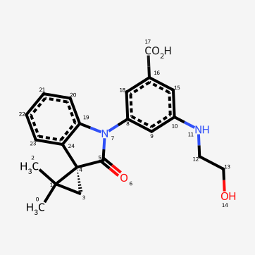 CC1(C)C[C@]12C(=O)N(c1cc(NCCO)cc(C(=O)O)c1)c1ccccc12